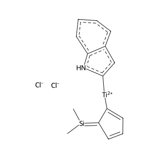 C[Si](C)=C1C=CC=[C]1[Ti+2][c]1cc2ccccc2[nH]1.[Cl-].[Cl-]